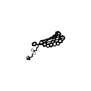 O=C(CCCC1(c2ccccc2)C2c3cc4c5c6c(cc7c8c9c%10c%11c(cc%12c%13c%14c%15c(c%16c3c5c3c%16c%14c(c%11%13)c9c3c68)C21CC%15C=%12)CC=%10C7)C4)OCCc1ccsc1